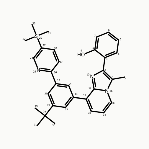 Cc1c(-c2ccccc2O)nc2c(-c3cc(-c4ccc([Si](C)(C)C)cn4)cc(C(C)(C)C)c3)cccn12